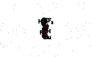 Cc1nc(Oc2ccc(NS(=O)(=O)CC(F)(F)F)nc2C)c(-c2ccnc(N[C@H]3C[C@H](F)CN(C(=O)OC(C)(C)C)C3)n2)s1